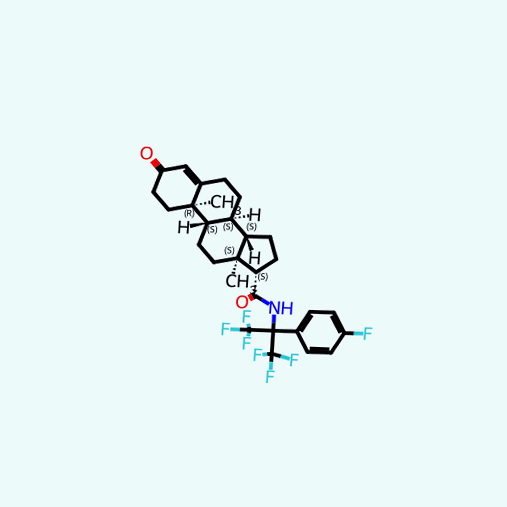 C[C@]12CC[C@H]3[C@@H](CCC4=CC(=O)CC[C@@]43C)[C@@H]1CC[C@@H]2C(=O)NC(c1ccc(F)cc1)(C(F)(F)F)C(F)(F)F